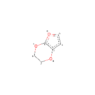 c1cc2c(o1)OCCO2